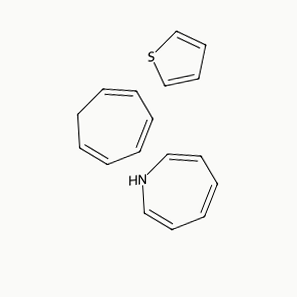 C1=CC=CCC=C1.C1=CC=CNC=C1.c1ccsc1